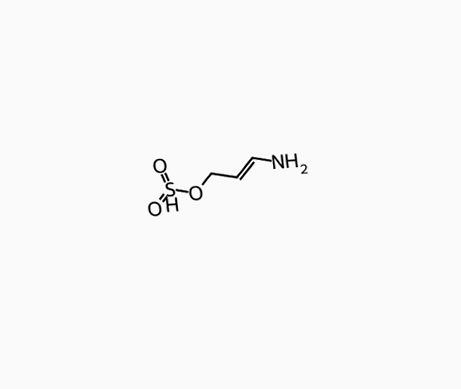 NC=CCO[SH](=O)=O